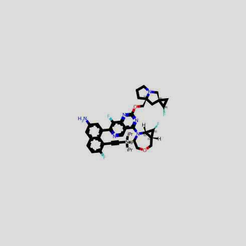 CC(C)[Si](C#Cc1c(F)ccc2cc(N)cc(-c3ncc4c(N5CCOC[C@H]6[C@H](F)[C@H]65)nc(OC[C@@]56CCCN5C[C@]5(C[C@H]5F)C6)nc4c3F)c12)(C(C)C)C(C)C